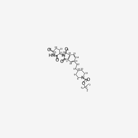 CC(C)(C)OC(=O)N1CCC(CCc2ccc3c(c2)C(=O)N(C2CCC(=O)NC2=O)C3=O)CC1